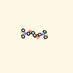 c1ccc2c(c1)Sc1ccccc1N2c1ccc2c(c1)oc1ccc3c(ccc4oc5cc(N6c7ccccc7Sc7ccccc76)ccc5c43)c12